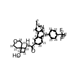 Cn1cc2c3cc(C(=O)NC4CC(O)C45CCOCC5)ccc3n(-c3ccc(C(F)(F)F)cc3)c2n1